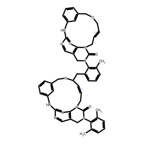 Cc1cccc(C)c1N1Cc2cnc3nc2N(C/C=C\C(Cc2cccc(C)c2N2Cc4cnc5nc4N(C/C=C/COCc4cccc(c4)N5)C2=O)OCc2cccc(c2)N3)C1=O